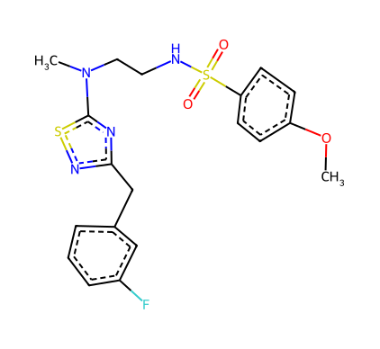 COc1ccc(S(=O)(=O)NCCN(C)c2nc(Cc3cccc(F)c3)ns2)cc1